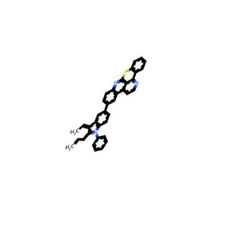 C=C/C=c1\c(=C/C)c2cc(-c3ccc4nc5c6c(nccc6c4c3)-c3ccccc3S5)ccc2n1-c1ccccc1